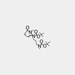 CN(CCCN(C(=O)OC(C)(C)C)c1cccc(=O)n1C)C(=O)OC(C)(C)C